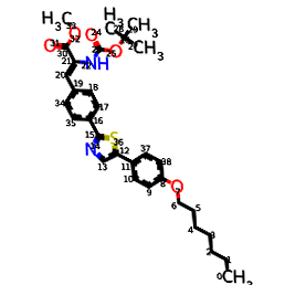 CCCCCCCOc1ccc(-c2cnc(-c3ccc(C=C(NC(=O)OC(C)(C)C)C(=O)OC)cc3)s2)cc1